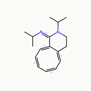 CC(C)/N=C1C2=C\C=C/C=C\C=C/2CCN\1C(C)C